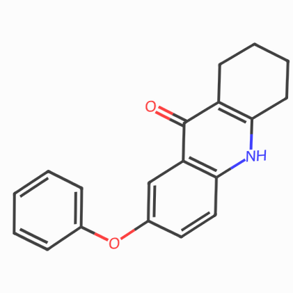 O=c1c2c([nH]c3ccc(Oc4ccccc4)cc13)CCCC2